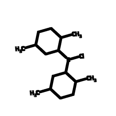 CC1CCC(C)C(B(Cl)C2CC(C)CCC2C)C1